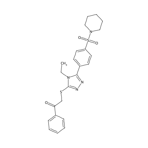 CCn1c(SCC(=O)c2ccccc2)nnc1-c1ccc(S(=O)(=O)N2CCCCC2)cc1